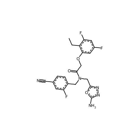 CCc1c(F)cc(F)cc1OCC(=O)N(Cc1nnc(N)o1)Cc1ccc(C#N)cc1F